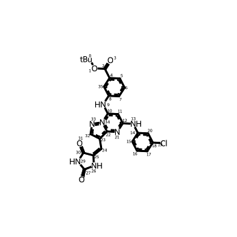 CC(C)(C)OC(=O)c1cccc(Nc2cc(Nc3cccc(Cl)c3)nc3c(C=C4NC(=O)NC4=O)cnn23)c1